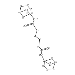 O=C(CCCCC(=O)OC12CCCC(C1)O2)OC12CCCC(C1)O2